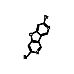 Brc1cc2oc3cc(Br)ncc3c2cn1